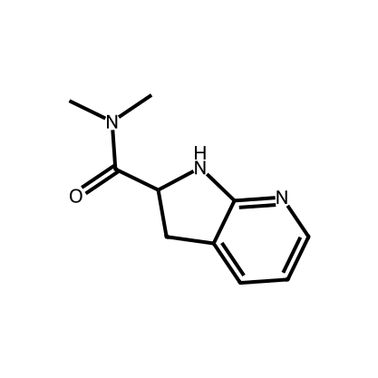 CN(C)C(=O)C1Cc2cccnc2N1